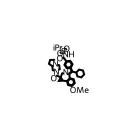 COc1ccc2c(c1)C1CC1(C(=O)N1CCN3CCCC3C1)Cn1c-2c(C2CCCCC2)c2ccc(C(=O)NS(=O)(=O)C(C)C)cc21